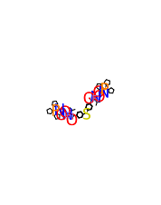 CC(C)/C(=N\OC(=O)N=P(C1CCCC1)(C1CCCC1)C1CCCC1)C(=O)c1ccc(Sc2ccc(C(=O)/C(=N/OC(=O)N=P(C3CCCC3)(C3CCCC3)C3CCCC3)C(C)C)cc2)cc1